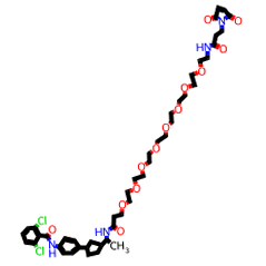 CC(NC(=O)CCOCCOCCOCCOCCOCCOCCOCCOCCNC(=O)CCN1C(=O)C=CC1=O)C1CCC(c2ccc(NC(=O)c3c(Cl)cccc3Cl)cc2)C1